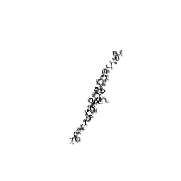 C=CC(=O)OCCCCCCOc1ccc2cc(C(=O)Oc3ccc(OC(=O)c4ccc5cc(OCCCCCCOC(=O)C=C)ccc5c4)c(C(=O)CC)c3)ccc2c1